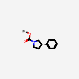 CC(C)(C)OC(=O)N1CC[C@@H](c2ccccc2)C1